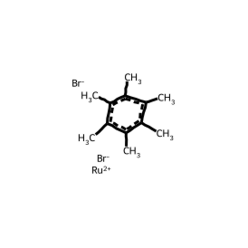 Cc1c(C)c(C)c(C)c(C)c1C.[Br-].[Br-].[Ru+2]